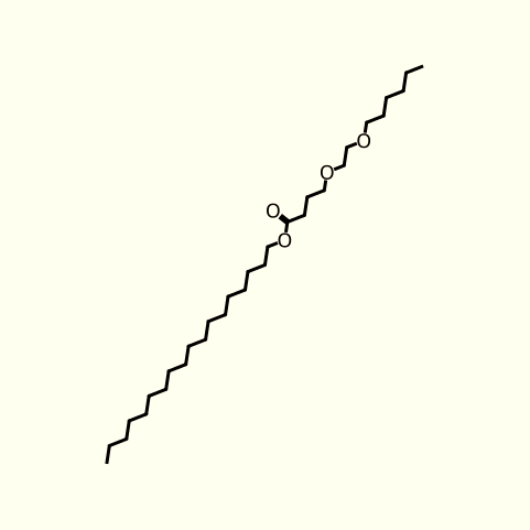 CCCCCCCCCCCCCCCCCCOC(=O)CCCOCCOCCCCCC